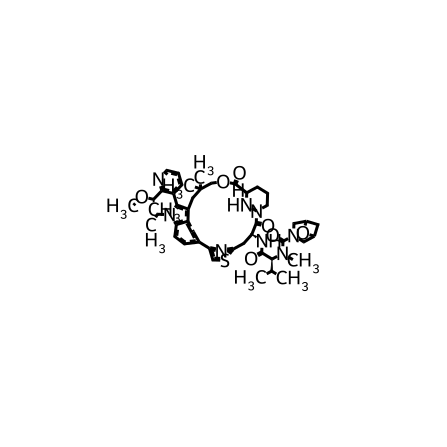 CCn1c(-c2cccnc2[C@H](C)OC)c2c3cc(ccc31)-c1csc(n1)C[C@H](NC(=O)[C@H](C(C)C)N(C)C(=O)N1CC3CC(C1)O3)C(=O)N1CCC[C@H](N1)C(=O)OCC(C)(C)C2